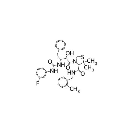 Cc1ccccc1CNC(=O)C1N(C(=O)C(O)C(Cc2ccccc2)NC(=O)Nc2cccc(F)c2)CSC1(C)C